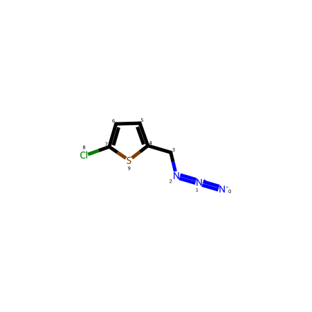 [N-]=[N+]=NCc1ccc(Cl)s1